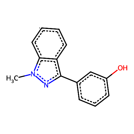 Cn1nc(-c2cccc(O)c2)c2cc[c]cc21